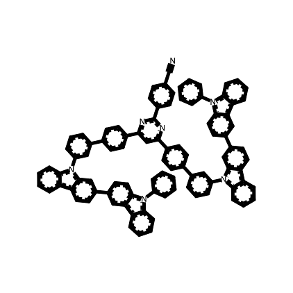 N#Cc1ccc(-c2nc(-c3ccc(-c4cccc(-n5c6ccccc6c6ccc(-c7ccc8c(c7)c7ccccc7n8-c7ccccc7)cc65)c4)cc3)cc(-c3ccc(-c4cccc(-n5c6ccccc6c6ccc(-c7ccc8c(c7)c7ccccc7n8-c7ccccc7)cc65)c4)cc3)n2)cc1